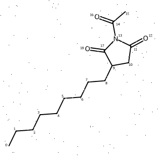 CCCCCCCCCC1CC(=O)N(C(C)=O)C1=O